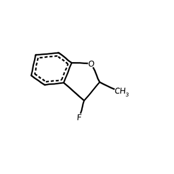 CC1Oc2ccccc2C1F